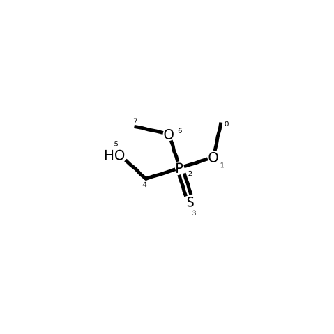 COP(=S)(CO)OC